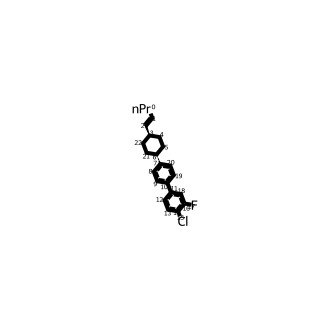 CCCC=C[C@H]1CC[C@H](c2ccc(-c3ccc(Cl)c(F)c3)cc2)CC1